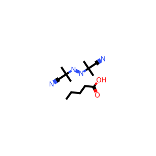 CC(C)(C#N)N=NC(C)(C)C#N.CCCCC(=O)O